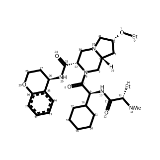 CCO[C@@H]1C[C@@H]2CN(C(=O)[C@@H](NC(=O)[C@H](CC)NC)C3CCCCC3)[C@H](C(=O)N[C@@H]3CCOc4ccccc43)CN2C1